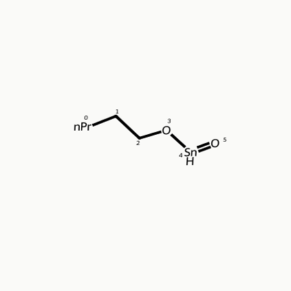 CCCCC[O][SnH]=[O]